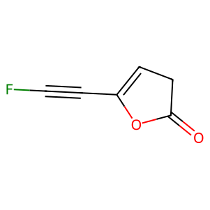 O=C1CC=C(C#CF)O1